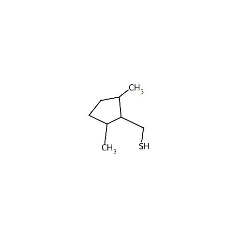 CC1CCC(C)C1CS